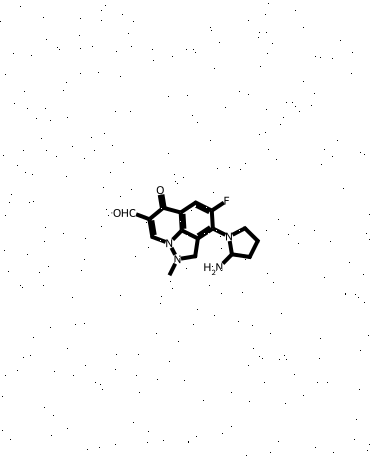 CN1Cc2c(N3CCCC3N)c(F)cc3c(=O)c([C]=O)cn1c23